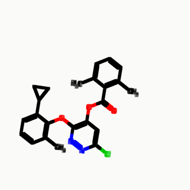 Cc1cccc(C2CC2)c1Oc1nnc(Cl)cc1OC(=O)c1c(C)cccc1C